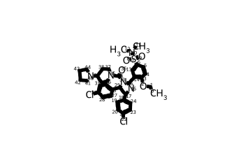 CCOc1ccc(S(=O)(=O)N(C)C)cc1C1=NC(c2ccc(Cl)cc2)C(c2ccc(Cl)cc2)N1C(=O)N1CCC(N2CCCC2)CC1